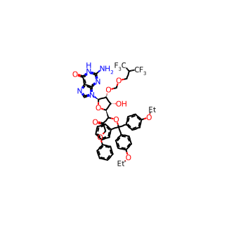 CCOc1ccc(C(OC(C(=O)COc2ccccc2)[C@H]2O[C@@H](n3cnc4c(=O)[nH]c(N)nc43)[C@H](OCOCC(C(F)(F)F)C(F)(F)F)[C@@H]2O)(c2ccccc2)c2ccc(OCC)cc2)cc1